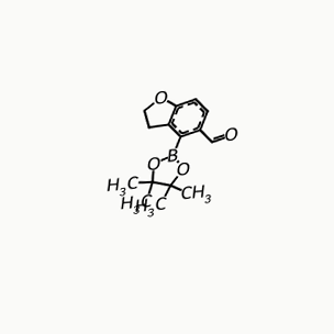 CC1(C)OB(c2c(C=O)ccc3c2CCO3)OC1(C)C